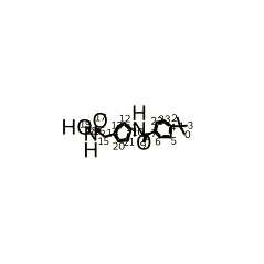 CC(C)(C)c1ccc(C(=O)Nc2ccc(CC(=O)NO)cc2)cc1